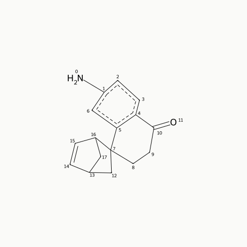 Nc1ccc2c(c1)C1(CCC2=O)CC2C=CC1C2